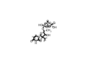 C[C@@H](OP(=O)(O)OP(=O)(O)OP(=O)(O)O)[C@H]1O[C@@H](n2ccc(=O)[nH]c2=O)[C@@](F)(CF)C1O